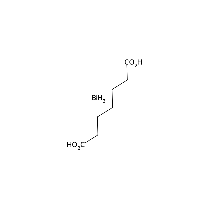 O=C(O)CCCCCC(=O)O.[BiH3]